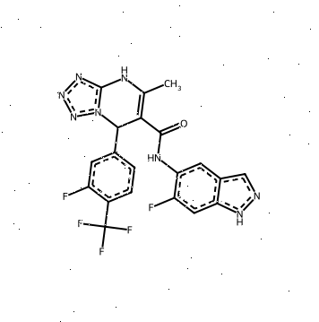 CC1=C(C(=O)Nc2cc3cn[nH]c3cc2F)C(c2ccc(C(F)(F)F)c(F)c2)n2nnnc2N1